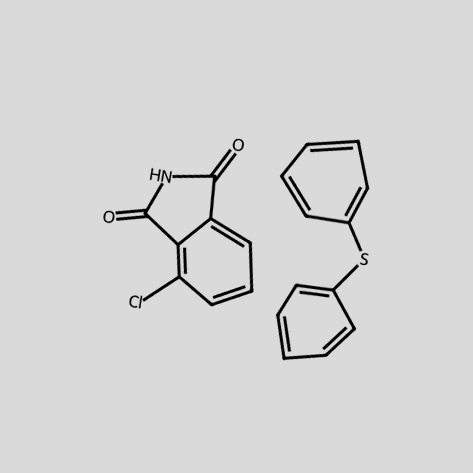 O=C1NC(=O)c2c(Cl)cccc21.c1ccc(Sc2ccccc2)cc1